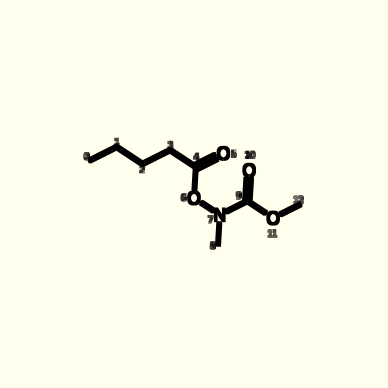 CCCCC(=O)ON(C)C(=O)OC